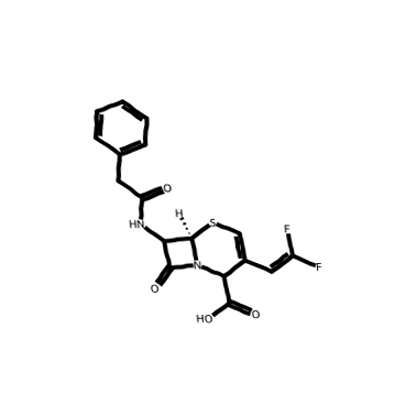 O=C(Cc1ccccc1)NC1C(=O)N2C(C(=O)O)C(C=C(F)F)=CS[C@H]12